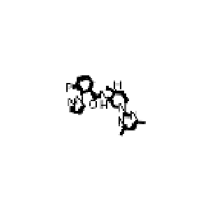 Cc1cc(C)nc(N2CC[C@@H]3CN(C(=O)c4cccc(F)c4-n4cccn4)[C@@H]3C2)n1